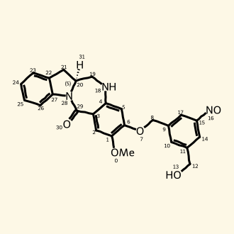 COc1cc2c(cc1OCc1cc(CO)cc(N=O)c1)NC[C@@H]1Cc3ccccc3N1C2=O